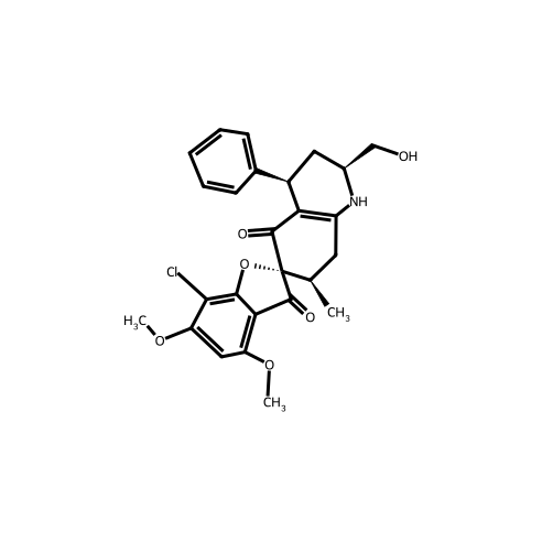 COc1cc(OC)c2c(c1Cl)O[C@@]1(C(=O)C3=C(C[C@H]1C)N[C@H](CO)C[C@@H]3c1ccccc1)C2=O